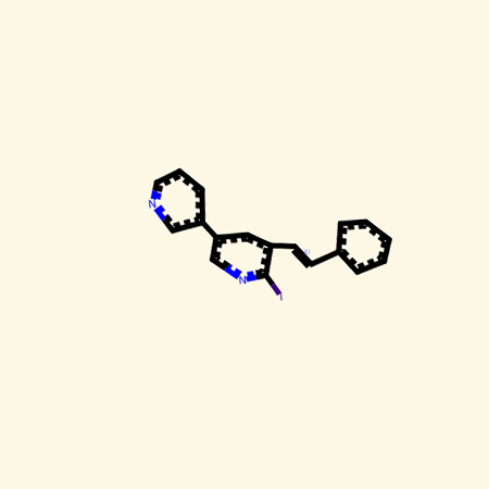 Ic1ncc(-c2cccnc2)cc1/C=C/c1ccccc1